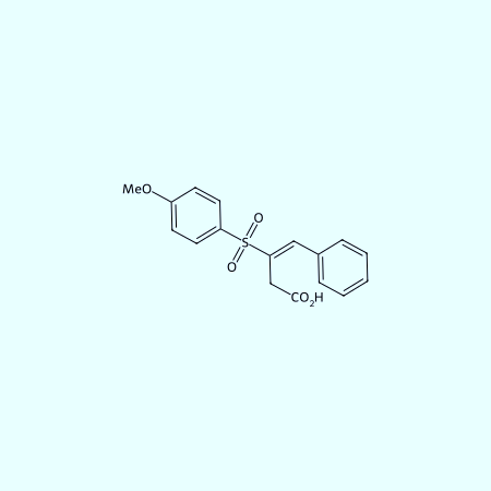 COc1ccc(S(=O)(=O)C(=Cc2ccccc2)CC(=O)O)cc1